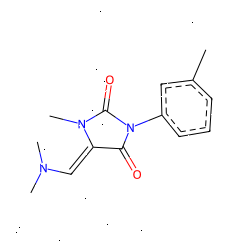 Cc1cccc(N2C(=O)C(=CN(C)C)N(C)C2=O)c1